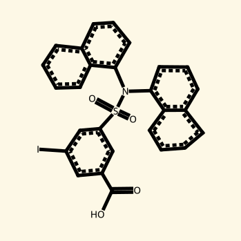 O=C(O)c1cc(I)cc(S(=O)(=O)N(c2cccc3ccccc23)c2cccc3ccccc23)c1